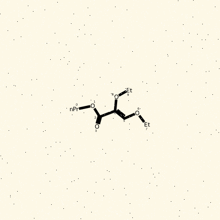 CCCOC(=O)C(=COCC)OCC